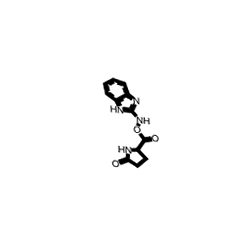 O=C1CCC(C(=O)ONc2nc3ccccc3[nH]2)N1